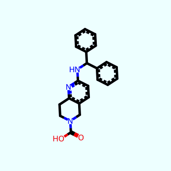 O=C(O)N1CCc2nc(NC(c3ccccc3)c3ccccc3)ccc2C1